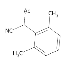 CC(=O)C(C#N)c1c(C)cccc1C